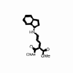 COC(=O)C(=C/C=C/N[C@@H]1CCC2C=CC=CC21)C(=O)OC